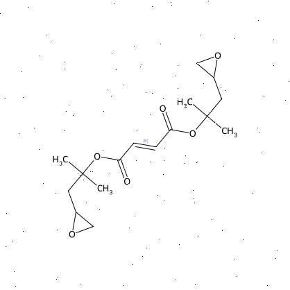 CC(C)(CC1CO1)OC(=O)/C=C/C(=O)OC(C)(C)CC1CO1